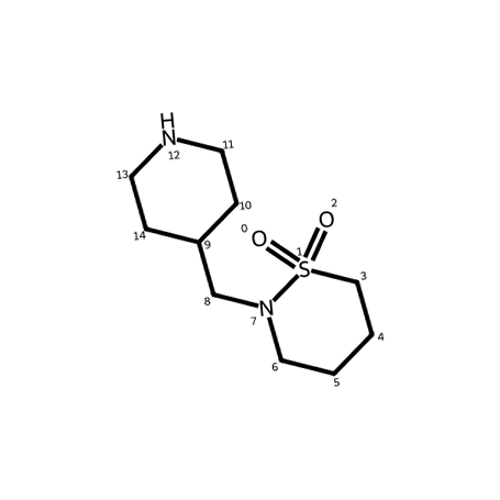 O=S1(=O)CCCCN1CC1CCNCC1